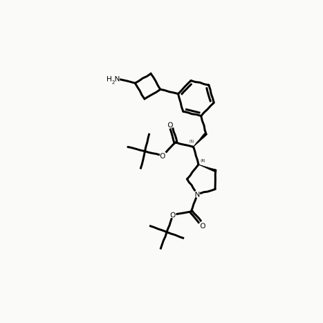 CC(C)(C)OC(=O)[C@@H](Cc1cccc(C2CC(N)C2)c1)[C@H]1CCN(C(=O)OC(C)(C)C)C1